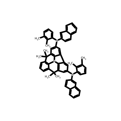 Cc1cccc(N(c2ccc3ccccc3c2)c2cc3c4c(c2)c2cc(N(c5ccc6ccccc6c5)c5cccc(C)c5C)cc5c2n4-c2c(cccc2C5(C)C)C3(C)C)c1C